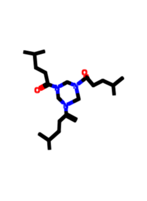 C=C(CCC(C)C)N1CN(C(=O)CCC(C)C)CN(C(=O)CCC(C)C)C1